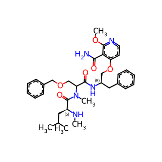 CN[C@@H](CC(C)C)C(=O)N(C)C(COCc1ccccc1)C(=O)N[C@@H](COc1ccnc(OC)c1C(N)=O)Cc1ccccc1